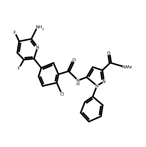 CNC(=O)c1cc(NC(=O)c2cc(-c3nc(N)c(F)cc3F)ccc2Cl)n(-c2ccccc2)n1